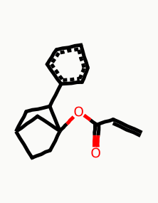 C=CC(=O)OC12CCC(CC1c1ccccc1)C2